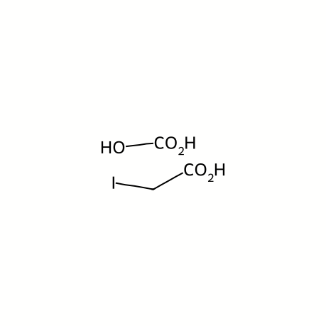 O=C(O)CI.O=C(O)O